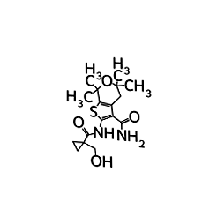 CC1(C)Cc2c(sc(NC(=O)C3(CO)CC3)c2C(N)=O)C(C)(C)O1